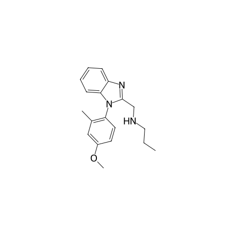 CCCNCc1nc2ccccc2n1-c1ccc(OC)cc1C